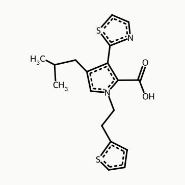 CC(C)Cc1cn(CCc2cccs2)c(C(=O)O)c1-c1nccs1